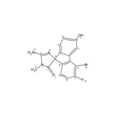 CN1C(=O)C(c2ccc(O)cc2)(c2ccc(F)c(Br)c2)N=C1[AsH2]